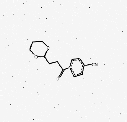 N#Cc1ccc(C(=O)CCC2OCCCO2)cc1